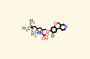 CC(CC(COc1cc2c(cc1Br)-c1ccncc1CO2)NC(=O)O)CC(C)(C)C